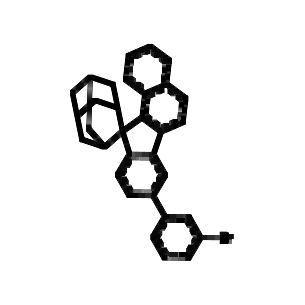 Brc1cccc(-c2ccc3c(c2)-c2ccc4ccccc4c2C32C3CC4CC(C3)CC2C4)c1